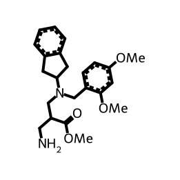 COC(=O)C(CN)CN(Cc1ccc(OC)cc1OC)C1Cc2ccccc2C1